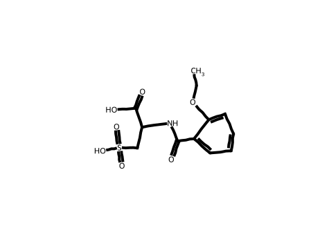 CCOc1ccccc1C(=O)NC(CS(=O)(=O)O)C(=O)O